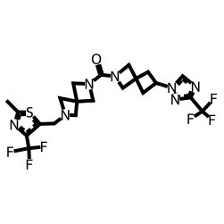 Cc1nc(C(F)(F)F)c(CN2CC3(C2)CN(C(=O)N2CC4(CC(n5cnc(C(F)(F)F)n5)C4)C2)C3)s1